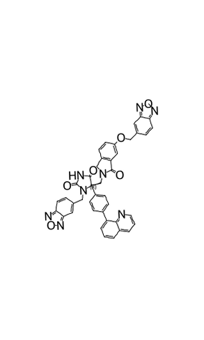 O=C1c2cc(OCc3ccc4nonc4c3)ccc2CN1C[C@]1(c2ccc(-c3cccc4cccnc34)cc2)C(=O)NC(=O)N1Cc1ccc2nonc2c1